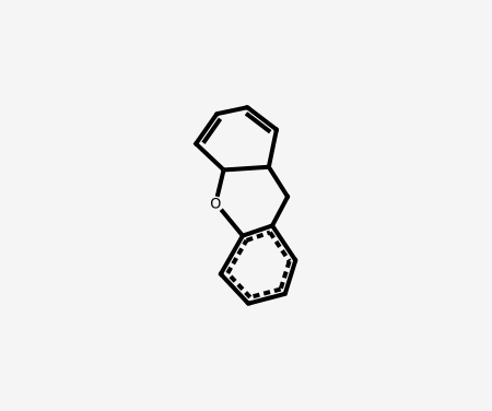 C1=CC2Cc3ccccc3OC2C=C1